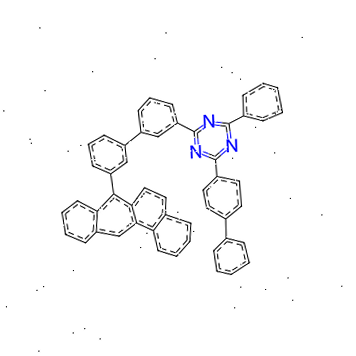 c1ccc(-c2ccc(-c3nc(-c4ccccc4)nc(-c4cccc(-c5cccc(-c6c7ccccc7cc7c6ccc6ccccc67)c5)c4)n3)cc2)cc1